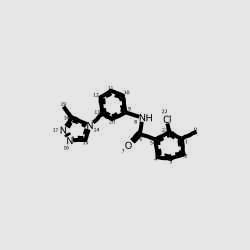 Cc1cccc(C(=O)Nc2cccc(-n3cnnc3C)c2)c1Cl